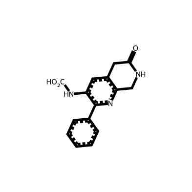 O=C(O)Nc1cc2c(nc1-c1ccccc1)CNC(=O)C2